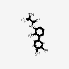 C=C(C#N)C(=O)Nc1cccc(-c2ccc(O)c(O)c2)c1C(F)(F)F